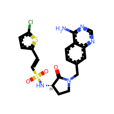 Nc1ncnc2cc(CN3CC[C@H](NS(=O)(=O)C=Cc4ccc(Cl)s4)C3=O)ccc12